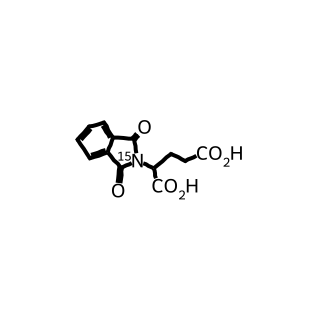 O=C(O)CCC(C(=O)O)[15N]1C(=O)c2ccccc2C1=O